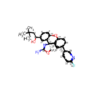 CC(C)(C)CC(O)c1ccc2c(c1)[C@@]1(COC(N)=N1)c1cc(-c3ccc(F)nc3)ccc1O2